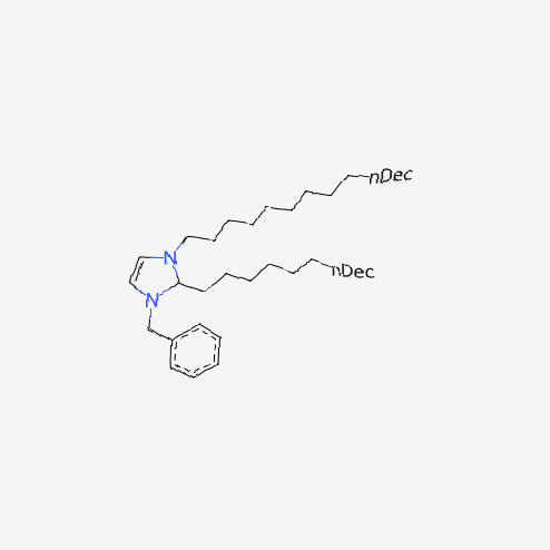 CCCCCCCCCCCCCCCCCCCN1C=CN(Cc2ccccc2)C1CCCCCCCCCCCCCCCC